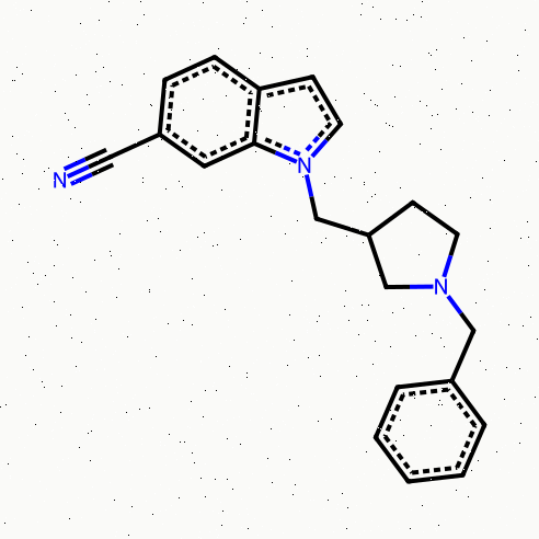 N#Cc1ccc2ccn(CC3CCN(Cc4ccccc4)C3)c2c1